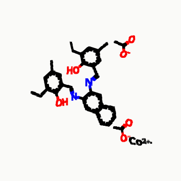 CC(=O)[O-].CC(=O)[O-].CCc1cc(C)cc(C=Nc2cc3ccccc3cc2N=Cc2cc(C)cc(CC)c2O)c1O.[Co+2]